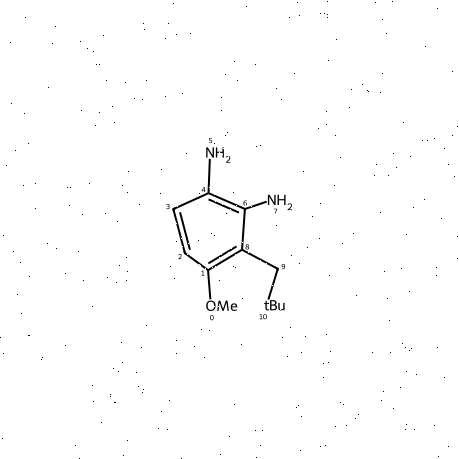 COc1ccc(N)c(N)c1CC(C)(C)C